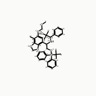 COCOc1cc(C(CO[Si](c2ccccc2)(c2ccccc2)C(C)(C)C)N[C@H](c2ccccc2)C(C)(C)O)c2c(c1C)OCO2